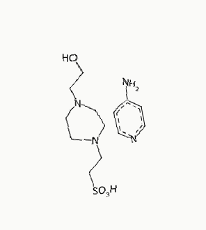 Nc1ccncc1.O=S(=O)(O)CCN1CCN(CCO)CC1